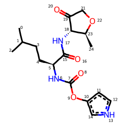 CC(C)CC[C@H](NC(=O)Oc1cc[nH]c1)C(=O)N[C@@H]1C(=O)CO[C@H]1C